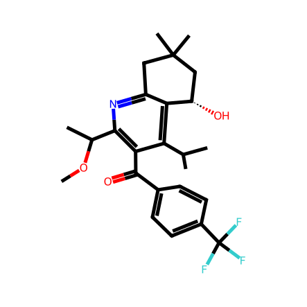 COC(C)c1nc2c(c(C(C)C)c1C(=O)c1ccc(C(F)(F)F)cc1)[C@@H](O)CC(C)(C)C2